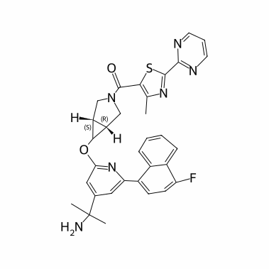 Cc1nc(-c2ncccn2)sc1C(=O)N1C[C@@H]2C(Oc3cc(C(C)(C)N)cc(-c4ccc(F)c5ccccc45)n3)[C@@H]2C1